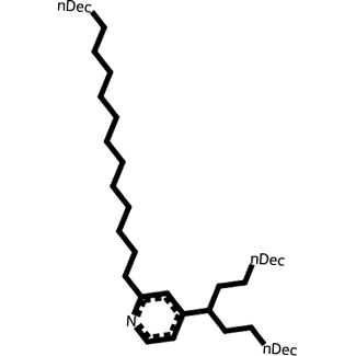 CCCCCCCCCCCCCCCCCCCCCCc1cc(C(CCCCCCCCCCCC)CCCCCCCCCCCC)ccn1